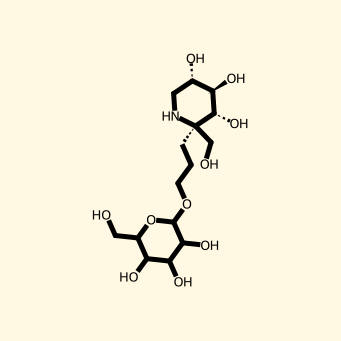 OCC1OC(OCCC[C@]2(CO)NC[C@H](O)[C@@H](O)[C@@H]2O)C(O)C(O)C1O